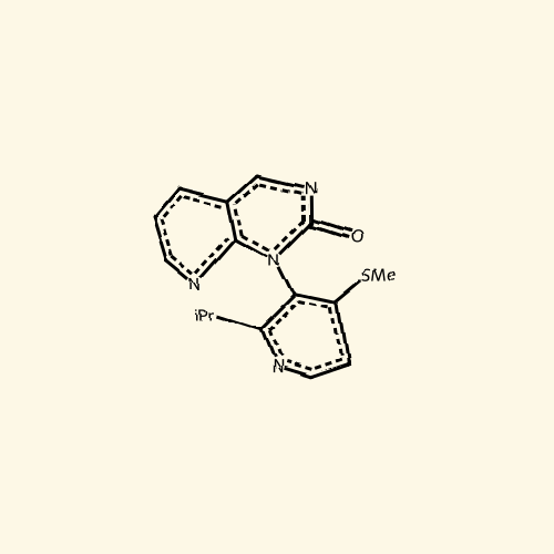 CSc1ccnc(C(C)C)c1-n1c(=O)ncc2cccnc21